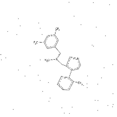 Cc1ccccc1-c1ccncc1CN(C)Cc1cc(C(F)(F)F)cc(C(F)(F)F)c1